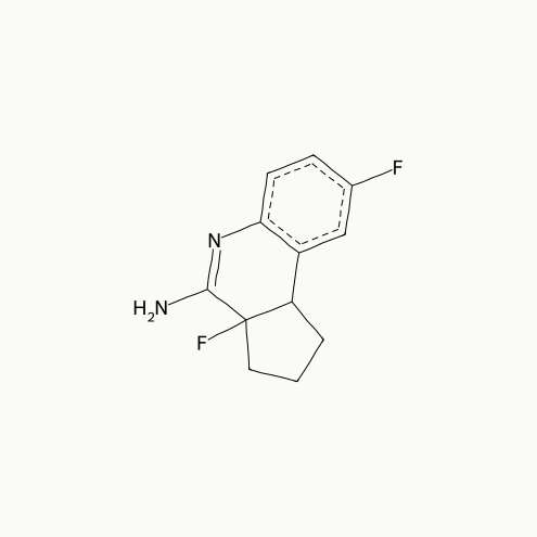 NC1=Nc2ccc(F)cc2C2CCCC12F